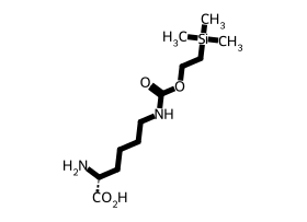 C[Si](C)(C)CCOC(=O)NCCCC[C@@H](N)C(=O)O